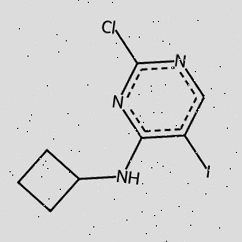 Clc1ncc(I)c(NC2CCC2)n1